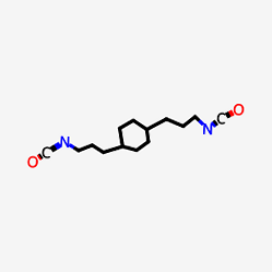 O=C=NCCCC1CCC(CCCN=C=O)CC1